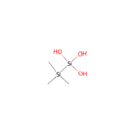 C[Si](C)(C)[Si](O)(O)O